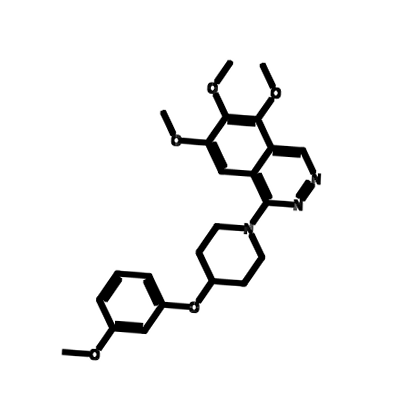 COc1cccc(OC2CCN(c3nncc4c(OC)c(OC)c(OC)cc34)CC2)c1